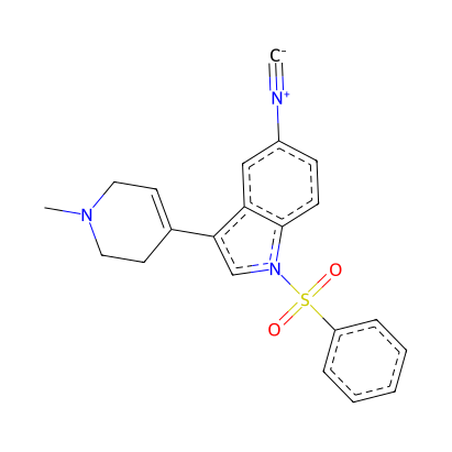 [C-]#[N+]c1ccc2c(c1)c(C1=CCN(C)CC1)cn2S(=O)(=O)c1ccccc1